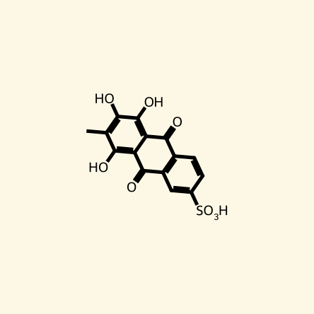 Cc1c(O)c(O)c2c(c1O)C(=O)c1cc(S(=O)(=O)O)ccc1C2=O